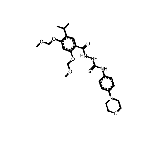 COCOc1cc(OCOC)c(C(C)C)cc1C(=O)NNC(=S)Nc1ccc(N2CCOCC2)cc1